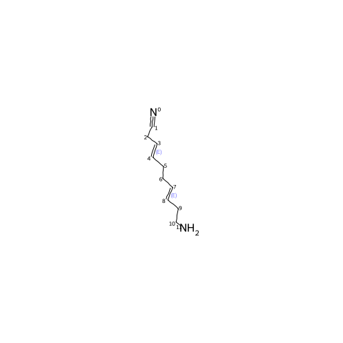 N#CC/C=C/CC/C=C/CCN